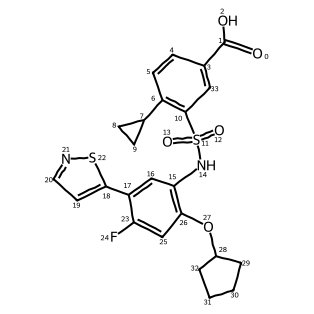 O=C(O)c1ccc(C2CC2)c(S(=O)(=O)Nc2cc(-c3ccns3)c(F)cc2OC2CCCC2)c1